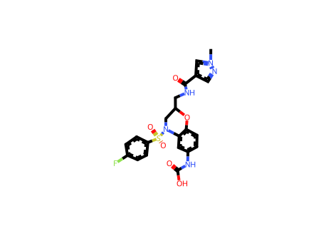 Cn1cc(C(=O)NCC2CN(S(=O)(=O)c3ccc(F)cc3)c3cc(NC(=O)O)ccc3O2)cn1